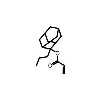 C=CC(=O)OC1(CCC)C2CC3CC(C2)CC1C3